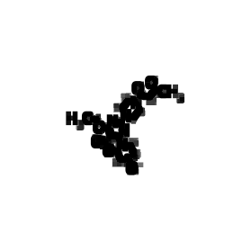 CCOc1nc(N2CCN(C(=O)CC(C)=O)CC2)nc(N2CC[S+]([O-])CC2)c1[N+](=O)[O-]